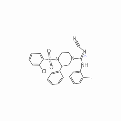 Cc1ccccc1N/C(=N/C#N)N1CCN(S(=O)(=O)c2ccccc2Cl)C(c2ccccc2)C1